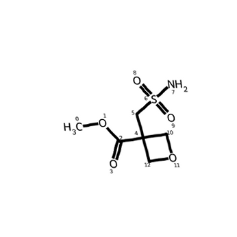 COC(=O)C1(CS(N)(=O)=O)COC1